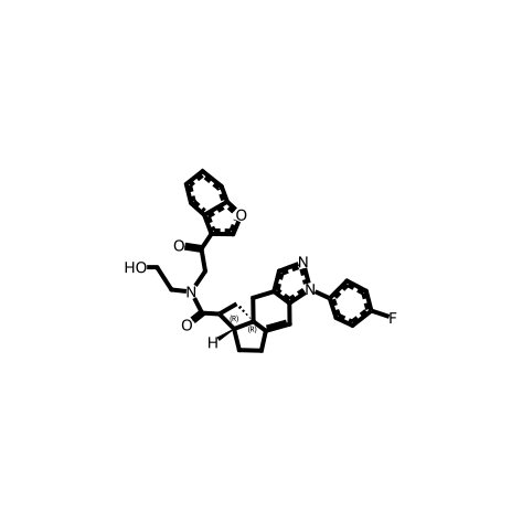 O=C(CN(CCO)C(=O)C1C[C@]23Cc4cnn(-c5ccc(F)cc5)c4C=C2CC[C@H]13)c1coc2ccccc12